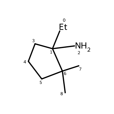 CCC1(N)CCCC1(C)C